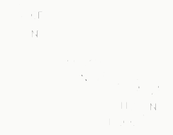 CC1(C(=O)O)CCCN1C(=O)c1ccc(-c2ccc(OCC3CCN(CC4(C(F)(F)F)CCC4)CC3)nc2)cc1